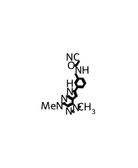 CNc1nc2[nH]c(-c3cccc(CNC(=O)CC#N)c3)cc2c2c1ncn2C